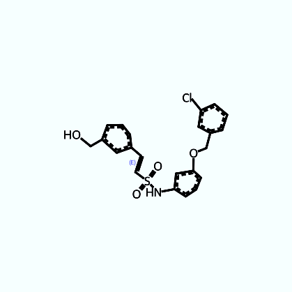 O=S(=O)(/C=C/c1cccc(CO)c1)Nc1cccc(OCc2cccc(Cl)c2)c1